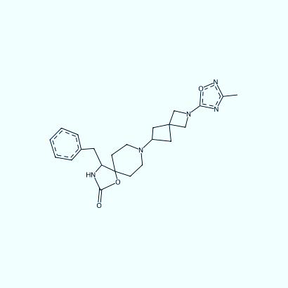 Cc1noc(N2CC3(CC(N4CCC5(CC4)OC(=O)NC5Cc4ccccc4)C3)C2)n1